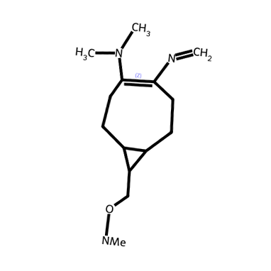 C=N/C1=C(\N(C)C)CCC2C(CC1)C2CONC